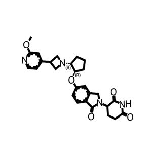 COc1cc(C2CN([C@@H]3CCC[C@H]3Oc3ccc4c(c3)CN(C3CCC(=O)NC3=O)C4=O)C2)ccn1